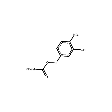 CCCCCC(=O)OOc1ccc([N+](=O)[O-])c(O)c1